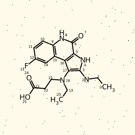 CC[N]c1[nH]c2c(=O)[nH]c3ccc(F)cc3c2c1N(CC)CCC(=O)O